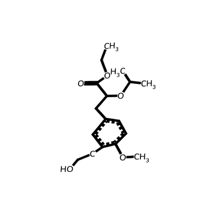 CCOC(=O)C(Cc1ccc(OC)c(CCO)c1)OC(C)C